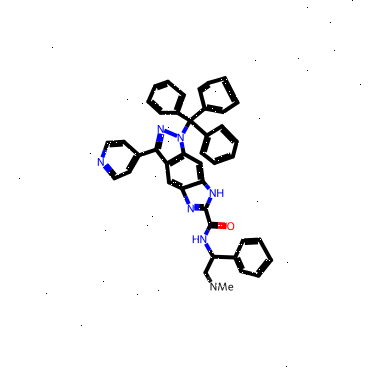 CNCC(NC(=O)c1nc2cc3c(-c4ccncc4)nn(C(c4ccccc4)(c4ccccc4)c4ccccc4)c3cc2[nH]1)c1ccccc1